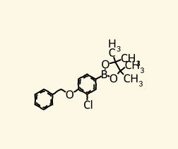 CC1(C)OB(c2ccc(OCc3ccccc3)c(Cl)c2)OC1(C)C